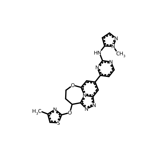 Cc1csc(OC2CCOc3cc(-c4ccnc(Nc5ccnn5C)n4)cc4nnc2n34)n1